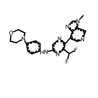 Cn1cnc2c(-c3ncc(Nc4ccc(N5CCOCC5)cc4)nc3C(F)F)cncc21